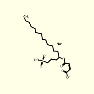 CCCCCCCCCCCCCC(CCCS(=O)(=O)O)OC(=O)/C=C\C(=O)[O-].[Na+]